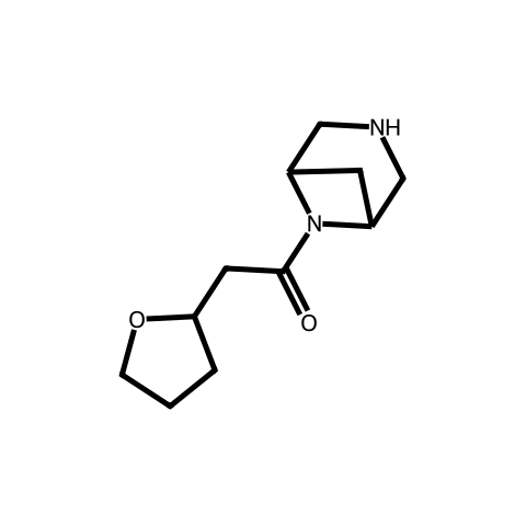 O=C(CC1CCCO1)N1C2CNCC1C2